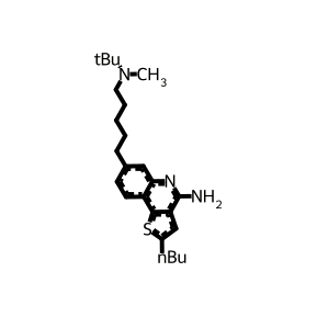 CCCCc1cc2c(N)nc3cc(CCCCCN(C)C(C)(C)C)ccc3c2s1